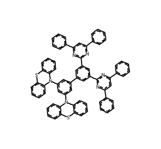 c1ccc(-c2cc(-c3ccccc3)nc(-c3cc(-c4cc(N5c6ccccc6Sc6ccccc65)cc(N5c6ccccc6Sc6ccccc65)c4)cc(-c4nc(-c5ccccc5)cc(-c5ccccc5)n4)c3)n2)cc1